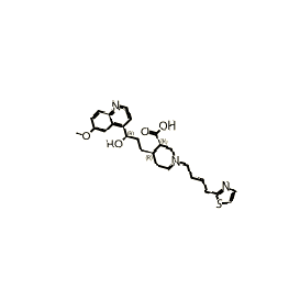 COc1ccc2nccc([C@H](O)CC[C@@H]3CCN(CCCCc4nccs4)C[C@@H]3C(=O)O)c2c1